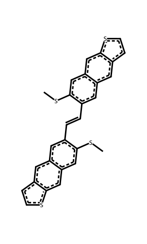 CSc1cc2cc3sccc3cc2cc1C=Cc1cc2cc3ccsc3cc2cc1SC